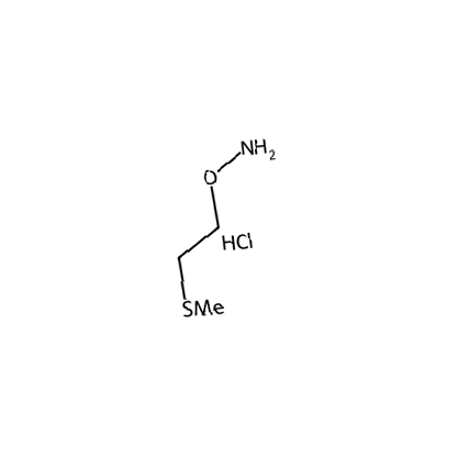 CSCCON.Cl